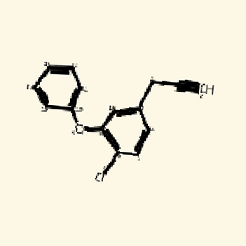 C#CCc1ccc(Cl)c(Oc2ccccc2)c1